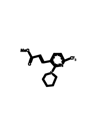 COC(=O)C=Cc1ccc(C(F)(F)F)nc1N1CCCCC1